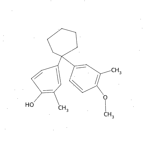 COc1ccc(C2(c3ccc(O)c(C)c3)CCCCC2)cc1C